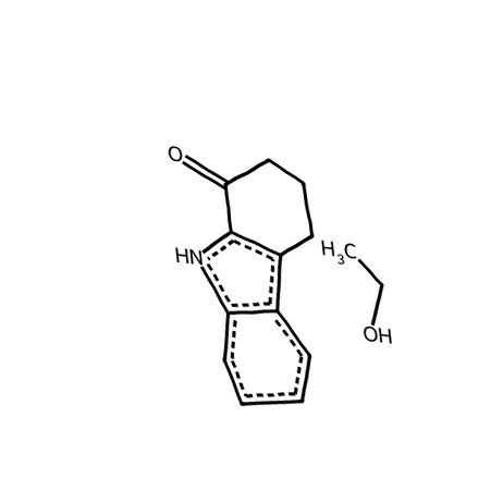 CCO.O=C1CCCc2c1[nH]c1ccccc21